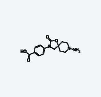 NN1CCC2(CC1)CN(c1ccc(C(=O)O)cc1)C(=O)O2